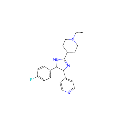 CCN1CCC(C2=NC(c3ccncc3)C(c3ccc(F)cc3)N2)CC1